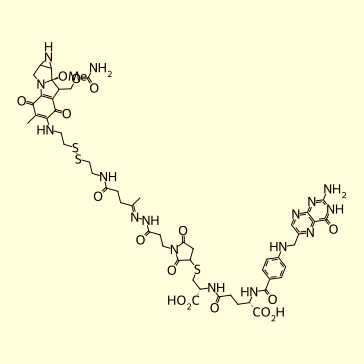 CO[C@@]12C(COC(N)=O)C3=C(C(=O)C(C)=C(NCCSSCCNC(=O)CC/C(C)=N/NC(=O)CCN4C(=O)CC(SC[C@H](NC(=O)CC[C@H](NC(=O)c5ccc(NCc6cnc7nc(N)[nH]c(=O)c7n6)cc5)C(=O)O)C(=O)O)C4=O)C3=O)N1CC1NC12